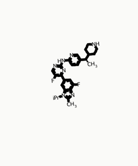 Cc1nc2c(F)cc(-c3nc(Nc4ccc([C@H](C)C5CCNCC5)cn4)ncc3F)cc2n1C(C)C